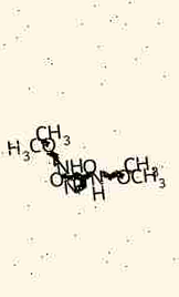 CC(C)OCCCNC(=O)c1ccnc(C(=O)NCCCOC(C)C)c1